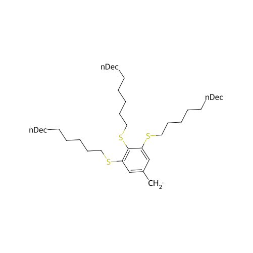 [CH2]c1cc(SCCCCCCCCCCCCCCC)c(SCCCCCCCCCCCCCCC)c(SCCCCCCCCCCCCCCC)c1